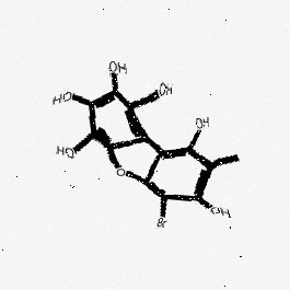 Cc1c(O)c(Br)c2oc3c(O)c(O)c(O)c(O)c3c2c1O